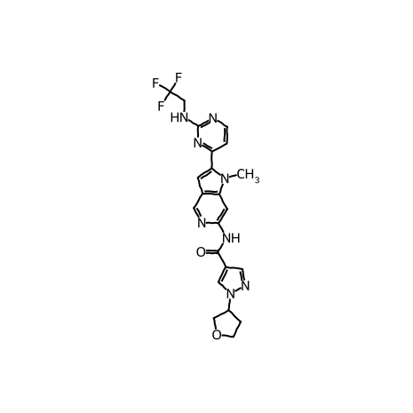 Cn1c(-c2ccnc(NCC(F)(F)F)n2)cc2cnc(NC(=O)c3cnn(C4CCOC4)c3)cc21